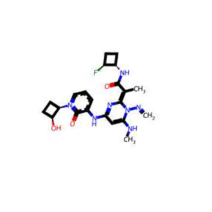 C=NN1C(NC)=CC(Nc2cccn([C@@H]3CC[C@@H]3O)c2=O)=N/C1=C(/C)C(=O)N[C@H]1CC[C@@H]1F